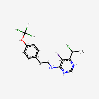 CC(F)c1ncnc(NCCc2ccc(OC(F)(F)F)cc2)c1I